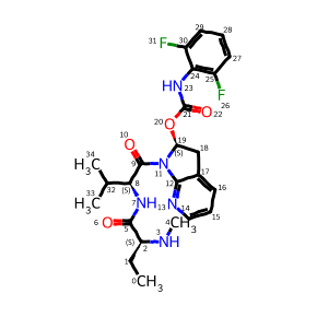 CC[C@H](NC)C(=O)N[C@H](C(=O)N1c2ncccc2C[C@@H]1OC(=O)Nc1c(F)cccc1F)C(C)C